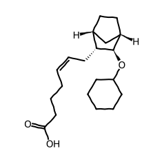 O=C(O)CCC/C=C\C[C@@H]1[C@@H]2CC[C@@H](C2)[C@H]1OC1CCCCC1